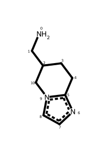 NCC1CCc2nccn2C1